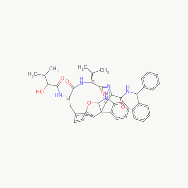 CC(C)C(O)C(=O)N[C@H]1Cc2ccc3c(c2)C2(c4ccccc4NC2O3)c2oc(nc2C(=O)NC(c2ccccc2)c2ccccc2)[C@H](C(C)C)NC1=O